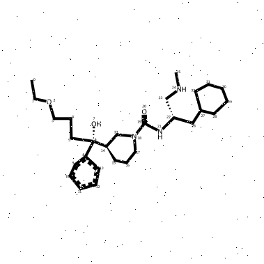 CCOCCC[C@](O)(c1ccccc1)[C@@H]1CCCN(C(=O)N[C@H](CNC)CC2CCCCC2)C1